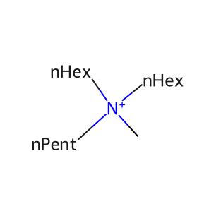 CCCCCC[N+](C)(CCCCC)CCCCCC